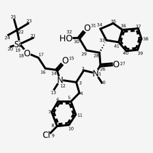 CN(CC(Cc1ccc(Cl)cc1)N(C)C(=O)CCO[Si](C)(C)C(C)(C)C)C(=O)C(CC(=O)O)[C@@H]1CCc2ccccc21